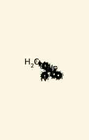 C=CCN1CCn2nc(-c3ccc4ccccc4c3F)c(-c3ccncc3)c2C1